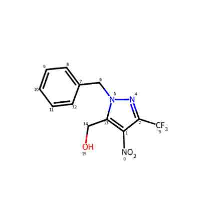 O=[N+]([O-])c1c(C(F)(F)F)nn(Cc2ccccc2)c1CO